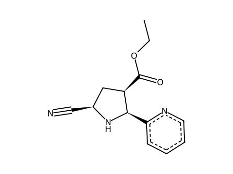 CCOC(=O)[C@@H]1C[C@H](C#N)N[C@@H]1c1ccccn1